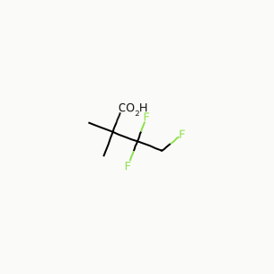 CC(C)(C(=O)O)C(F)(F)CF